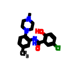 CN1CCN(c2ccc(C(F)(F)F)cc2NC(=O)c2cc(Cl)ccc2O)CC1